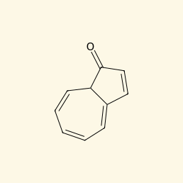 O=C1C=CC2=CC=CC=CC12